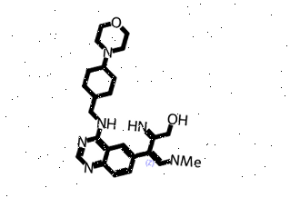 CN/C=C(\C(=N)CO)c1ccc2ncnc(NCC3CCC(N4CCOCC4)CC3)c2c1